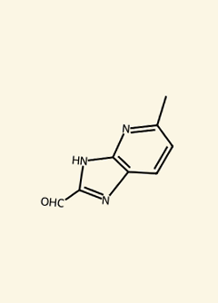 Cc1ccc2nc(C=O)[nH]c2n1